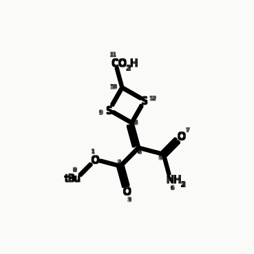 CC(C)(C)OC(=O)C(C(N)=O)=C1SC(C(=O)O)S1